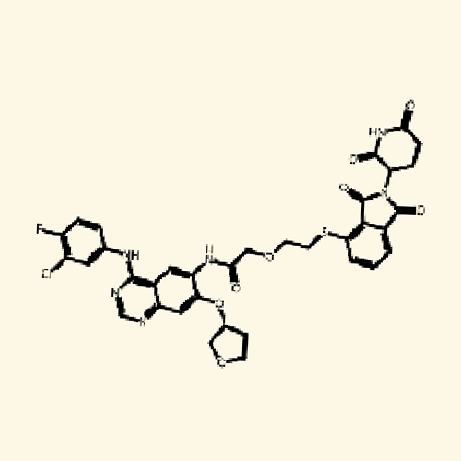 O=C1CCC(N2C(=O)c3cccc(SCCOCC(=O)Nc4cc5c(Nc6ccc(F)c(Cl)c6)ncnc5cc4O[C@H]4CCOC4)c3C2=O)C(=O)N1